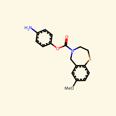 COc1ccc2c(c1)CN(C(=O)Oc1ccc(N)cc1)CCS2